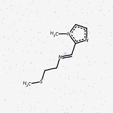 CSCC/N=C/c1nccn1C